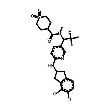 CN(C(=O)C1CCS(=O)(=O)CC1)C(c1ccc(NC2Cc3ccc(Cl)c(Cl)c3C2)nc1)C(F)(F)F